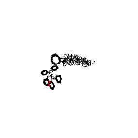 C1=CCCCCC=C1.OB(O)F.OB(O)F.[O-]B(O)F.[O-]B([O-])F.[Rh+3].c1ccc(C[C@@H](CP(c2ccccc2)c2ccccc2)P(c2ccccc2)c2ccccc2)cc1